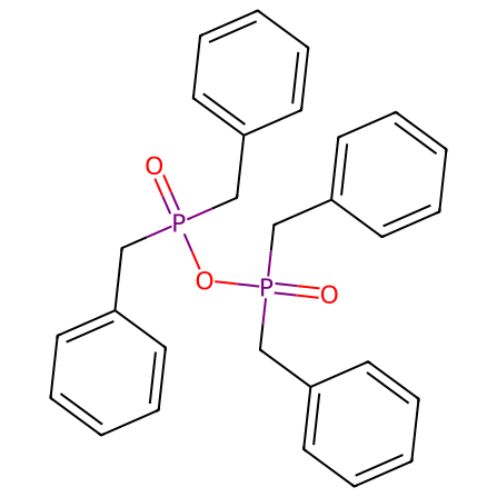 O=P(Cc1ccccc1)(Cc1ccccc1)OP(=O)(Cc1ccccc1)Cc1ccccc1